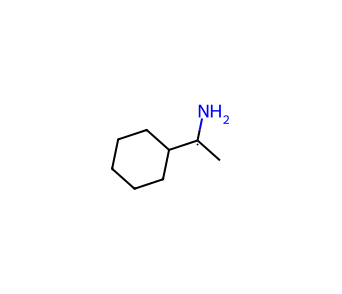 C[C](N)C1CCCCC1